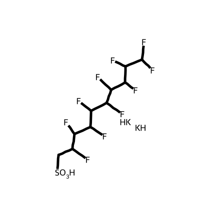 O=S(=O)(O)CC(F)C(F)C(F)C(F)C(F)C(F)C(F)C(F)C(F)F.[KH].[KH]